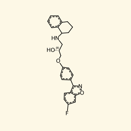 O[C@H](CNC1CCCc2ccccc21)COc1ccc(-c2noc3cc(F)ccc23)cc1